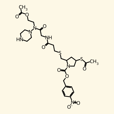 CC(=O)OCCN(C(=O)CNC(=O)CCSCC1CC(SC(C)=O)CN1C(=O)OCc1ccc([N+](=O)[O-])cc1)N1CCNCC1